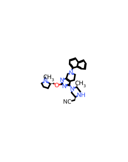 C[C@@H]1CN[C@@H](CC#N)CN1c1nc(OC[C@@H]2CCCN2C)nc2c1CCN(c1cccc3ccccc13)C2